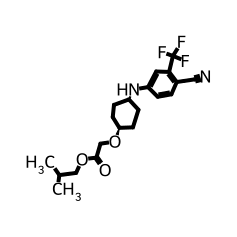 CC(C)COC(=O)CO[C@H]1CC[C@H](Nc2ccc(C#N)c(C(F)(F)F)c2)CC1